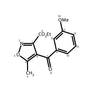 CCOC(=O)c1noc(C)c1C(=O)c1cccc(OC)c1